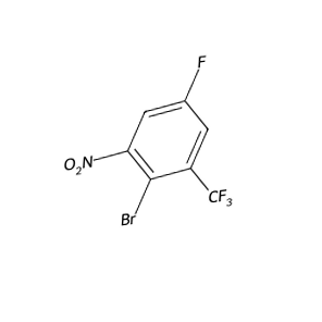 O=[N+]([O-])c1cc(F)cc(C(F)(F)F)c1Br